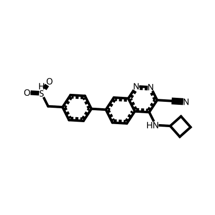 N#Cc1nnc2cc(-c3ccc(C[SH](=O)=O)cc3)ccc2c1NC1CCC1